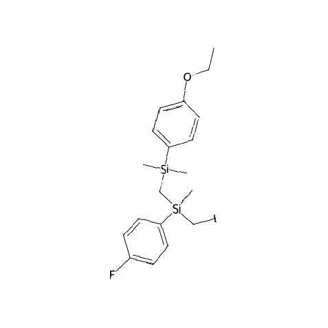 CCOc1ccc([Si](C)(C)C[Si](C)(CI)c2ccc(F)cc2)cc1